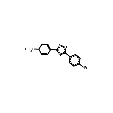 CC(C)c1ccc(-c2nc(C3=CCC(C(=O)O)C=C3)no2)cc1